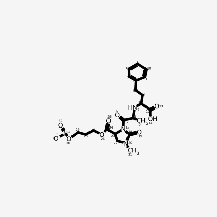 CC(NC(CCc1ccccc1)C(=O)O)C(=O)N1C(=O)N(C)CC1C(=O)OCCCO[N+](=O)[O-]